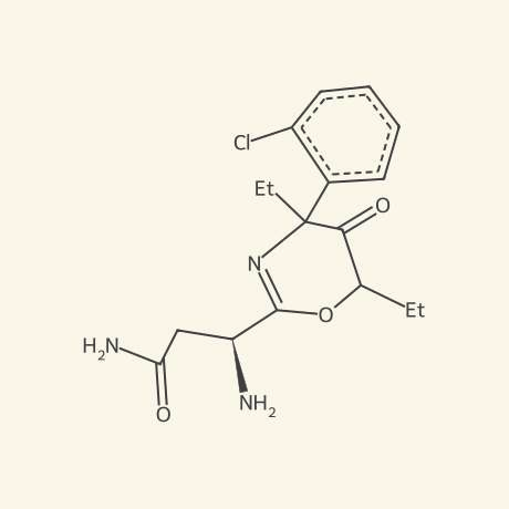 CCC1OC([C@@H](N)CC(N)=O)=NC(CC)(c2ccccc2Cl)C1=O